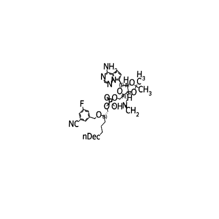 C=NC[C@]1(COP(=O)(O)OC[C@H](CCCCCCCCCCCCC)OCc2cc(F)cc(C#N)c2)O[C@@H](c2ccc3c(N)ncnn23)[C@@H]2OC(C)(C)O[C@@H]21